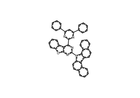 c1ccc(-c2cc(-c3ccccc3)nc(-c3nc(-n4c5ccc6ccccc6c5c5ccc6ccccc6c54)nc4oc5ccccc5c34)n2)cc1